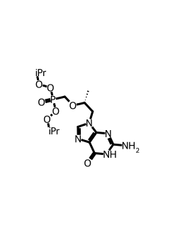 CC(C)OOP(=O)(CO[C@H](C)Cn1cnc2c(=O)[nH]c(N)nc21)OOC(C)C